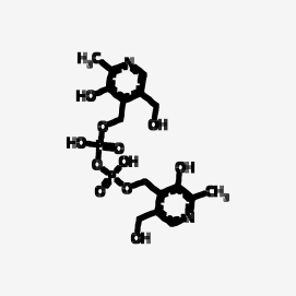 Cc1ncc(CO)c(COP(=O)(O)OP(=O)(O)OCc2c(CO)cnc(C)c2O)c1O